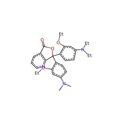 CCOc1cc(N(C)C)ccc1C1(c2ccc(N(CC)CC)cc2OCC)OC(=O)c2cccnc21